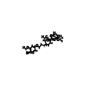 Cc1cc(OCCCC2CCN(C(=O)OC(C)(C)C)[C@@H](C)C2)ccc1Br